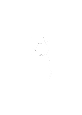 C=CCOC1=CC(C)(C)C(C(C)=O)C(C)(C)C1